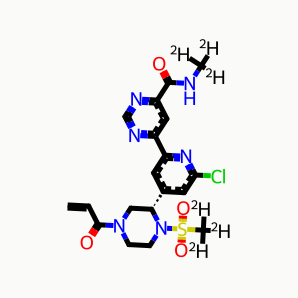 [2H]C([2H])([2H])NC(=O)c1cc(-c2cc([C@H]3CN(C(=O)C=C)CCN3S(=O)(=O)C([2H])([2H])[2H])cc(Cl)n2)ncn1